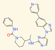 CC(Nc1nccc(-n2cnc3cc(-c4ccncc4)ccc32)n1)C1CCCN(C(=O)Nc2ccccc2)C1